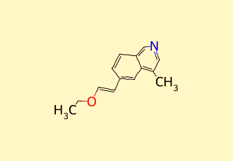 CCOC=Cc1ccc2cncc(C)c2c1